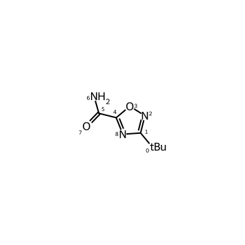 CC(C)(C)c1noc(C(N)=O)n1